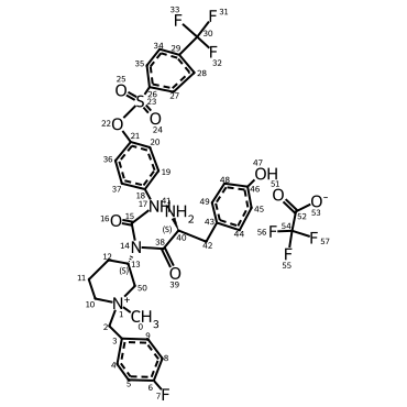 C[N+]1(Cc2ccc(F)cc2)CCC[C@H](N(C(=O)Nc2ccc(OS(=O)(=O)c3ccc(C(F)(F)F)cc3)cc2)C(=O)[C@@H](N)Cc2ccc(O)cc2)C1.O=C([O-])C(F)(F)F